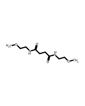 COCCNC(=O)CCC(=O)NCCOC